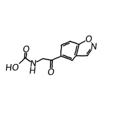 O=C(O)NCC(=O)c1ccc2oncc2c1